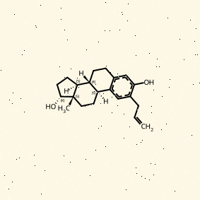 C=CCc1cc2c(cc1O)CC[C@@H]1[C@@H]2CC[C@]2(C)[C@H](O)CC[C@@H]12